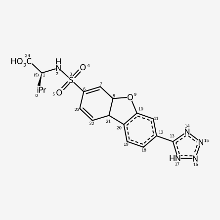 CC(C)[C@H](NS(=O)(=O)C1=CC2Oc3cc(-c4nnn[nH]4)ccc3C2C=C1)C(=O)O